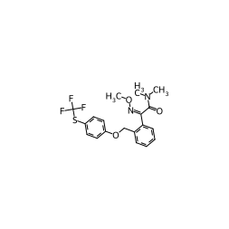 CON=C(C(=O)N(C)C)c1ccccc1COc1ccc(SC(F)(F)F)cc1